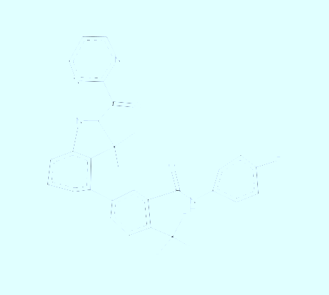 CC1(C)c2c(cccc2-c2ccc(C(F)(F)F)c(C(=O)Nc3ccc(F)cc3)c2)NC1C(=O)c1ncccn1